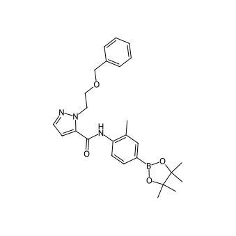 Cc1cc(B2OC(C)(C)C(C)(C)O2)ccc1NC(=O)c1ccnn1CCOCc1ccccc1